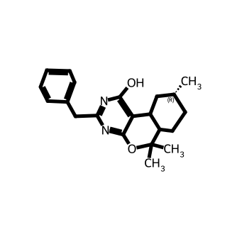 C[C@@H]1CCC2C(C1)c1c(O)nc(Cc3ccccc3)nc1OC2(C)C